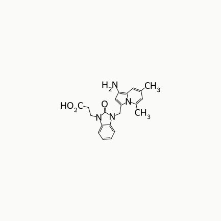 Cc1cc(C)n2c(Cn3c(=O)n(CCC(=O)O)c4ccccc43)cc(N)c2c1